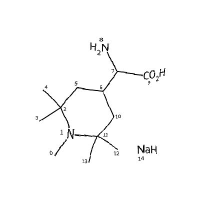 CN1C(C)(C)CC(C(N)C(=O)O)CC1(C)C.[NaH]